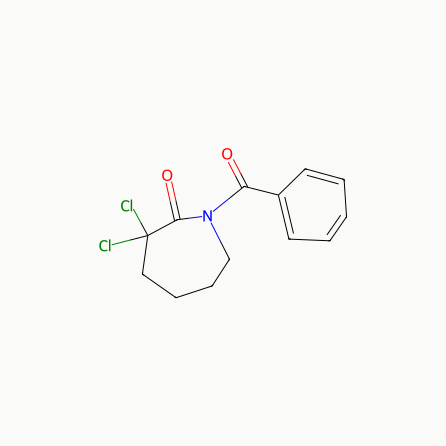 O=C(c1ccccc1)N1CCCCC(Cl)(Cl)C1=O